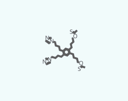 CC(=S)OCCCCc1cc(CCCCn2ccnc2)c(CCCCn2ccnc2)cc1CCCCOC(C)=S